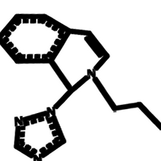 CC[CH]N1C=Cc2ccccc2C1n1cncn1